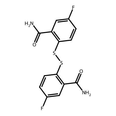 NC(=O)c1cc(F)ccc1SSc1ccc(F)cc1C(N)=O